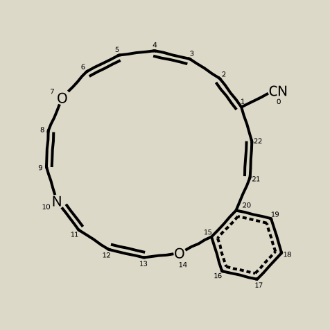 N#CC1=CC=CC=COC=CN=CC=COc2ccccc2C=C1